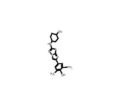 Cc1cc(-c2cn3nc(NC4CCC(O)CC4)sc3n2)cc(C)c1O